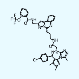 Cc1sc2c(c1C)C(c1ccc(Cl)cc1)=N[C@@H](CC(=O)NCCSc1nc3ccccc3c3cc(CNC(=O)c4ccccc4OC(F)(F)F)nn13)c1nnc(C)n1-2